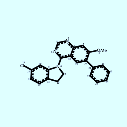 COc1cc2ncnc(N3CCc4ccc(Cl)cc43)c2cc1-c1ccccc1